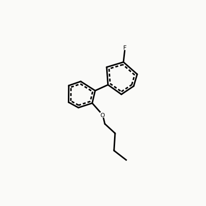 CCCCOc1ccccc1-c1cccc(F)c1